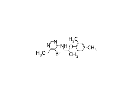 CCc1ncnc(NCC(C)Oc2ccc(C)cc2C)c1Br